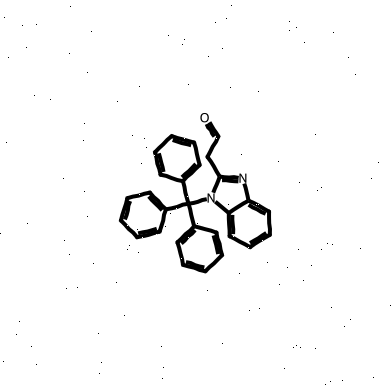 O=CCc1nc2ccccc2n1C(c1ccccc1)(c1ccccc1)c1ccccc1